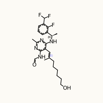 C/C(=C\c1c(NC=O)nc(C)nc1N[C@H](C)c1cccc(C(F)F)c1F)CCCCCCO